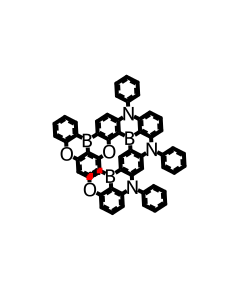 c1ccc(N2c3cc4c(cc3B3c5ccccc5Oc5cccc2c53)B2c3c(cccc3N(c3ccccc3)c3ccc5c(c32)Oc2cccc3c2B5c2ccccc2O3)N4c2ccccc2)cc1